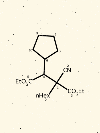 CCCCCCC(C#N)(C(=O)OCC)C(C(=O)OCC)C1CCCC1